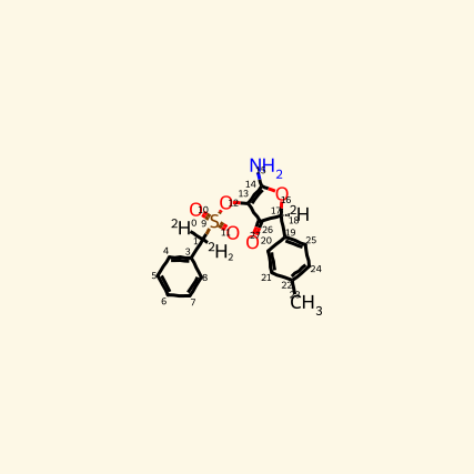 [2H]C([2H])(c1ccccc1)S(=O)(=O)OC1=C(N)O[C@@]([2H])(c2ccc(C)cc2)C1=O